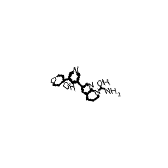 NC(O)N1CCCc2cc(-c3cncc(C4(O)CCOCC4)c3)cnc21